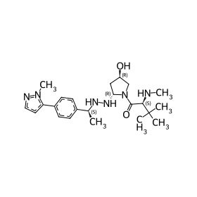 CN[C@H](C(=O)N1C[C@H](O)C[C@H]1NN[C@@H](C)c1ccc(-c2ccnn2C)cc1)C(C)(C)C